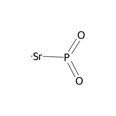 O=[P](=O)[Sr]